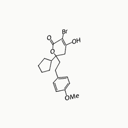 COc1ccc(CCC2(C3CCCC3)CC(O)=C(Br)C(=O)O2)cc1